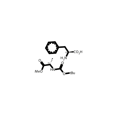 COC(=O)[C@H](C)NC(=O)OC(C)(C)C.N[C@@H](Cc1ccccc1)C(=O)O